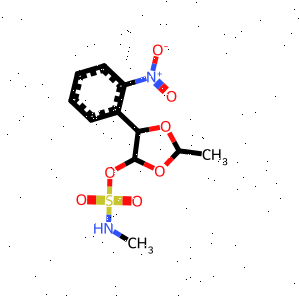 CNS(=O)(=O)OC1OC(C)OC1c1ccccc1[N+](=O)[O-]